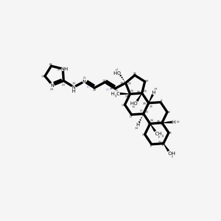 C[C@]12CC[C@H](O)C[C@H]1CC[C@@H]1[C@@H]2CC[C@]2(C)[C@@](O)(/C=C/C=N/NC3=NCCN3)CC[C@]12O